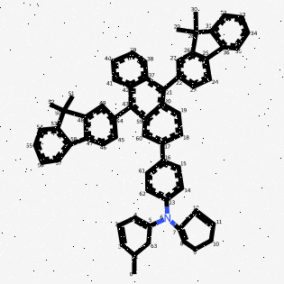 CC1C=CC=C(N(C2=CCCC=C2)c2ccc(-c3ccc4c(-c5ccc6c(c5)C(C)(C)c5ccccc5-6)c5ccccc5c(-c5ccc6c(c5)C(C)(C)c5ccccc5-6)c4c3)cc2)C1